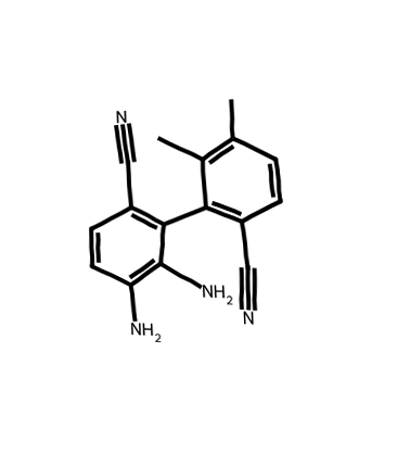 Cc1ccc(C#N)c(-c2c(C#N)ccc(N)c2N)c1C